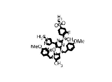 COc1ccc(CN(c2cc(C)n(Cc3ccc(OC)cc3)n2)c2nc(N(C)c3ccc(S(C)(=O)=O)cc3F)nc(-c3cnn(C)c3)c2OC)cc1